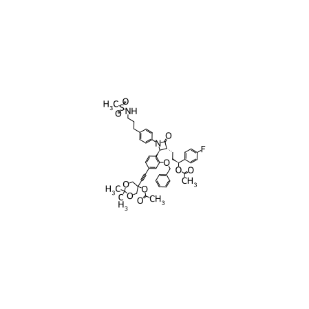 CC(=O)O[C@@H](CC[C@H]1C(=O)N(c2ccc(CCCNS(C)(=O)=O)cc2)[C@@H]1c1ccc(C#CC2(OC(C)=O)COC(C)(C)OC2)cc1OCc1ccccc1)c1ccc(F)cc1